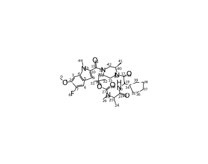 COc1cc2c(cc1F)cc(C(=O)N1CCN(C(=O)C(NC(=O)C(C)N(C)C(=O)OC(C)(C)C)C3CCCCC3)[C@H](C)C1)n2C